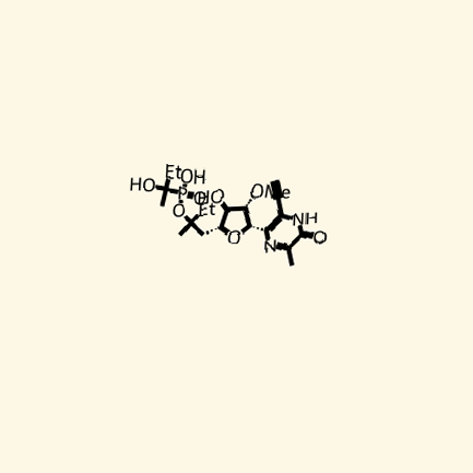 C#Cc1[nH]c(=O)c(C)nc1[C@@H]1O[C@H](CC(C)(CC)OP(=O)(O)C(C)(O)CC)C(O)[C@@H]1OC